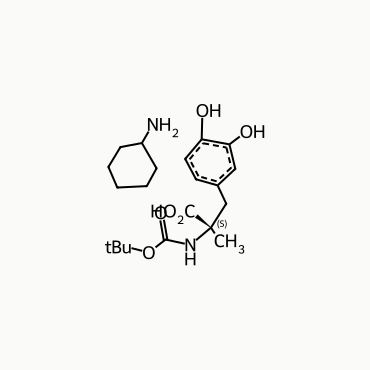 CC(C)(C)OC(=O)N[C@@](C)(Cc1ccc(O)c(O)c1)C(=O)O.NC1CCCCC1